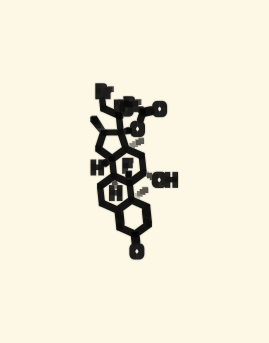 CCCC(=O)O[C@]1(C(=O)CBr)[C@H](C)C[C@H]2[C@@H]3CCC4=CC(=O)C=C[C@]4(C)[C@@]3(F)[C@@H](O)C[C@@]21C